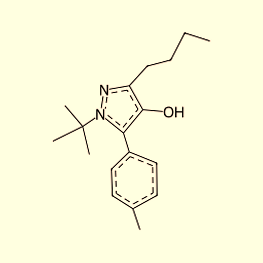 CCCCc1nn(C(C)(C)C)c(-c2ccc(C)cc2)c1O